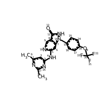 Cc1cc(Nc2cc3c(cn2)c(=O)[nH]n3-c2ccc(OC(F)(F)F)cc2)nc(C)n1